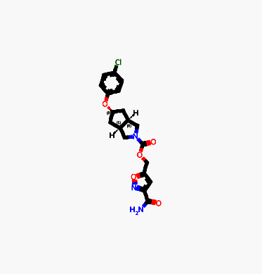 NC(=O)c1cc(COC(=O)N2C[C@H]3C[C@@H](Oc4ccc(Cl)cc4)C[C@H]3C2)on1